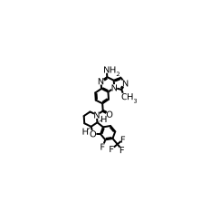 Cc1ncc2c(N)nc3ccc(C(=O)N4CCC[C@@H]5Oc6c(ccc(C(F)(F)F)c6F)[C@@H]54)cc3n12